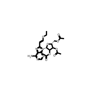 CCOC=Cc1nc2c(N)ncnc2n1[C@@H]1O[C@H](COC(C)=O)C(OC(C)=O)C1OC(C)=O